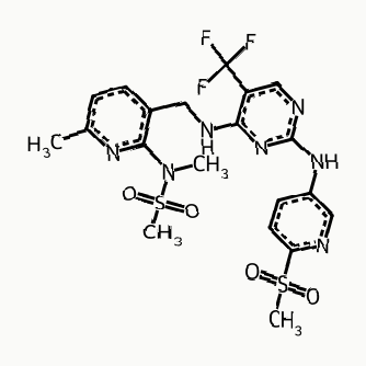 Cc1ccc(CNc2nc(Nc3ccc(S(C)(=O)=O)nc3)ncc2C(F)(F)F)c(N(C)S(C)(=O)=O)n1